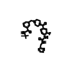 CC(C)(C)NC(=O)c1cccc(CN2CCN(C(=O)c3ccc(NC(=O)NCc4nccs4)c(F)c3)CC2)c1